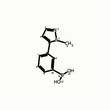 Cn1nccc1-c1cccc(B(O)O)c1